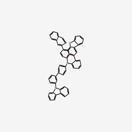 c1cc(-c2ccc(N(c3ccc(-c4ccc5ccccc5c4)cc3)c3ccccc3-c3ccc4oc5ccccc5c4c3)cc2)cc(-n2c3ccccc3c3ccccc32)c1